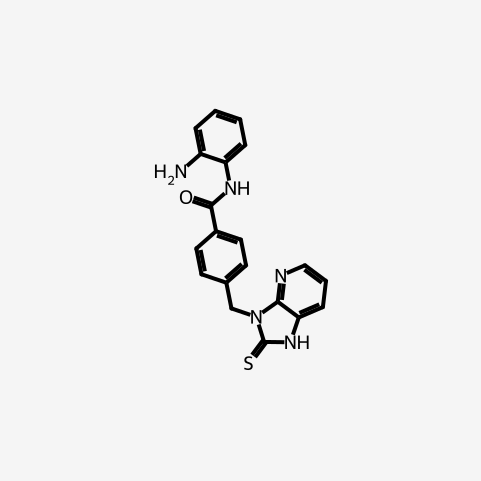 Nc1ccccc1NC(=O)c1ccc(Cn2c(=S)[nH]c3cccnc32)cc1